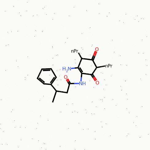 CCCC1C(=O)C(NC(=O)CC(C)c2ccccc2)=C(N)C(CCC)C1=O